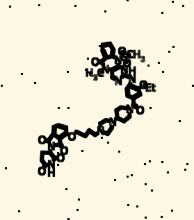 CCOc1cc(C(=O)N2CCC(N3CCN(CCCCOc4cccc5c4C(=O)N(C4CCC(=O)NC4=O)C5=O)CC3)CC2)ccc1Nc1ncc2c(n1)N(S(C)(=O)=O)c1ccccc1C(=O)N2C